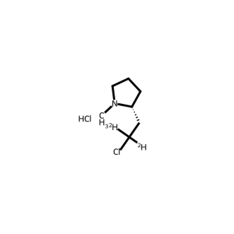 Cl.[2H]C([2H])(Cl)C[C@H]1CCCN1C